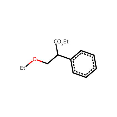 CCOCC(C(=O)OCC)c1ccccc1